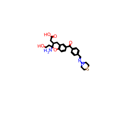 NC1(CCO)Oc2ccc(C(=O)c3ccc(C=NN4CCSCC4)cc3)cc2CC1CC(=O)O